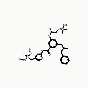 CCOP(=O)(Cc1csc(NC(=O)c2cc(C[C@@H](C)Cc3ccccc3)cc(O[C@@H](C)CO[Si](C)(C)C(C)(C)C)c2)n1)OCC